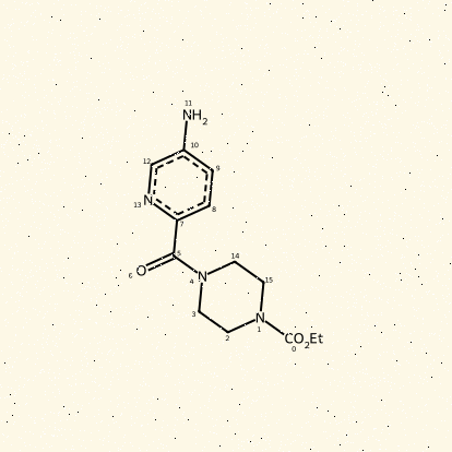 CCOC(=O)N1CCN(C(=O)c2ccc(N)cn2)CC1